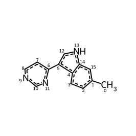 Cc1ccc2c(-c3ccncn3)c[nH]c2c1